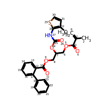 C=C(C)C(=O)OCC(COC(=O)c1ccccc1-c1ccccc1)OC(=O)Nc1sccc1C